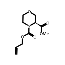 C=CCOC(=O)N1CCOC[C@H]1C(=O)OC